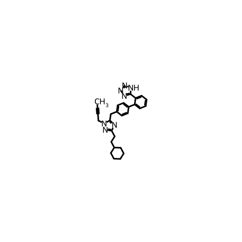 CC#CCn1nc(CCC2CCCCC2)nc1Cc1ccc(-c2ccccc2-c2nnn[nH]2)cc1